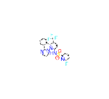 O=S(=O)(Nc1ccc(C(F)(F)F)c(-c2ccccc2-c2ncccn2)n1)c1cccc(F)n1